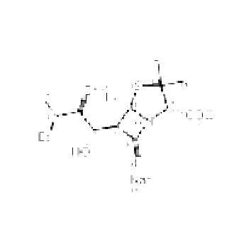 CCN(CC)C(=O)[C@@H](O)[C@@H]1C(=O)N2[C@@H]1SC(C)(C)[C@@H]2C(=O)[O-].[Na+]